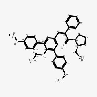 COc1ccc(-c2cc(CC(C(=O)N3CCC[C@H]3CO)c3ccccc3)cc(-c3ccc(OC)cc3)c2OC(C)=O)cc1